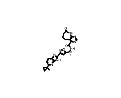 C[C@@H](NC(=O)c1ncnc2c1CCCC(=O)N2)c1cc(-c2nc3ccc(C4(C)CC4)nc3[nH]2)no1